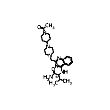 CC(=O)N1CCC(N2CCN(Cc3nc(N[C@H](C(N)=O)C(C)C)c4ccccc4n3)CC2)CC1